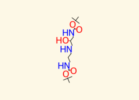 CC(C)(C)OC(=O)NCCCNCC(O)CNC(=O)OC(C)(C)C